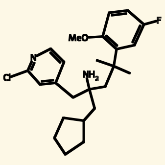 COc1ccc(F)cc1C(C)(C)CC(N)(Cc1ccnc(Cl)c1)CC1CCCC1